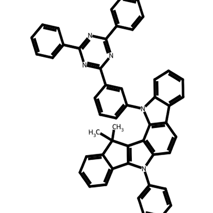 CC1(C)c2ccccc2-c2c1c1c(ccc3c4ccccc4n(-c4cccc(-c5nc(-c6ccccc6)nc(-c6ccccc6)n5)c4)c31)n2-c1ccccc1